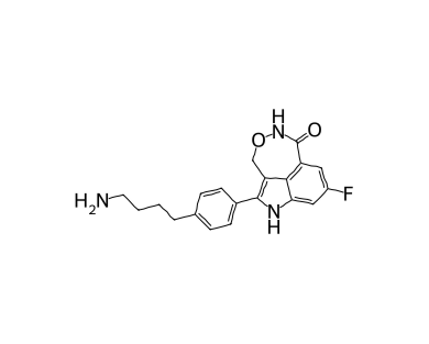 NCCCCc1ccc(-c2[nH]c3cc(F)cc4c3c2CONC4=O)cc1